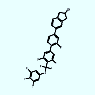 CCC1Cc2ccc(-c3ccc(-c4cc(F)c(C(F)(F)Oc5cc(F)c(F)c(F)c5)c(F)c4)c(F)c3)cc2C1